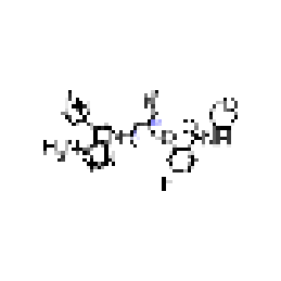 C=N/C=C(\C=C(/C)n1cc(-c2ccn(C)n2)c2c(N)ncnc21)COc1cc(F)ccc1C(=O)NC1CCOCC1